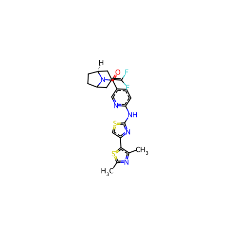 Cc1nc(C)c(-c2csc(Nc3ccc(C(=O)N4C5CC[C@H]4CC(=C(F)F)C5)cn3)n2)s1